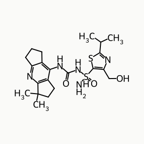 CC(C)c1nc(CO)c([SH](N)(=O)NC(=O)Nc2c3c(nc4c2CCC4(C)C)CCC3)s1